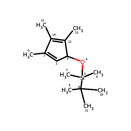 CC1=C[C](O[Si](C)(C)C(C)(C)C)C(C)=C1C